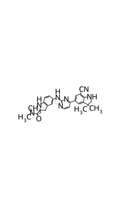 CN(C)C(=O)C1Cc2cc(Nc3nccc(-c4cc(C#N)c5c(c4)C(C)(C)CN5)n3)ccc2N1